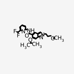 COCCCn1cc2cc(C(=O)Nc3cccc(C(F)F)n3)c(OC(C)C)cc2n1